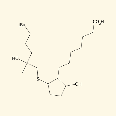 CC(C)(C)CCCC(C)(O)CSC1CCC(O)C1CCCCCCC(=O)O